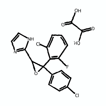 Fc1cccc(Cl)c1C1(c2ccc(Cl)cc2)OC1c1ncc[nH]1.O=C(O)C(=O)O